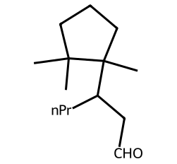 CCCC(CC=O)C1(C)CCCC1(C)C